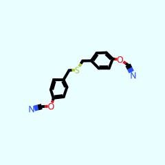 N#COc1ccc(CSCc2ccc(OC#N)cc2)cc1